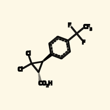 O=C(O)[C@H]1[C@H](c2ccc(C(F)(F)C(F)(F)F)cc2)C1(Cl)Cl